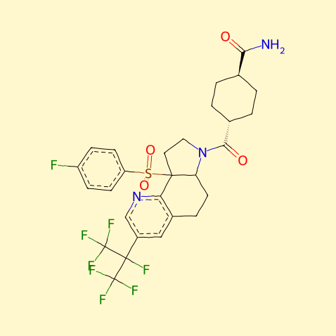 NC(=O)[C@H]1CC[C@H](C(=O)N2CCC3(S(=O)(=O)c4ccc(F)cc4)c4ncc(C(F)(C(F)(F)F)C(F)(F)F)cc4CCC23)CC1